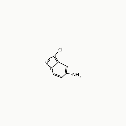 Nc1ccn2ncc(Cl)c2c1